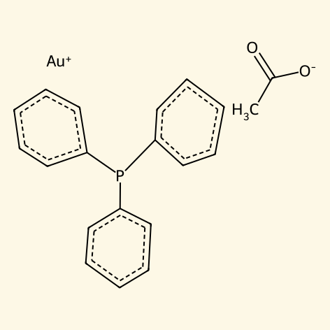 CC(=O)[O-].[Au+].c1ccc(P(c2ccccc2)c2ccccc2)cc1